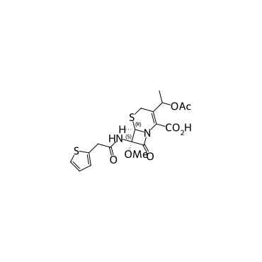 CO[C@@]1(NC(=O)Cc2cccs2)C(=O)N2C(C(=O)O)=C(C(C)OC(C)=O)CS[C@@H]21